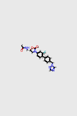 CC(=O)NC[C@H]1CN(c2ccc(-c3ccc(Cn4cncn4)cc3)c(F)c2)C(=O)O1